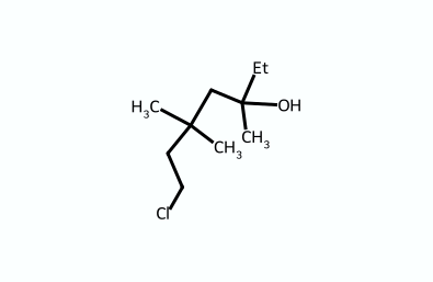 CCC(C)(O)CC(C)(C)CCCl